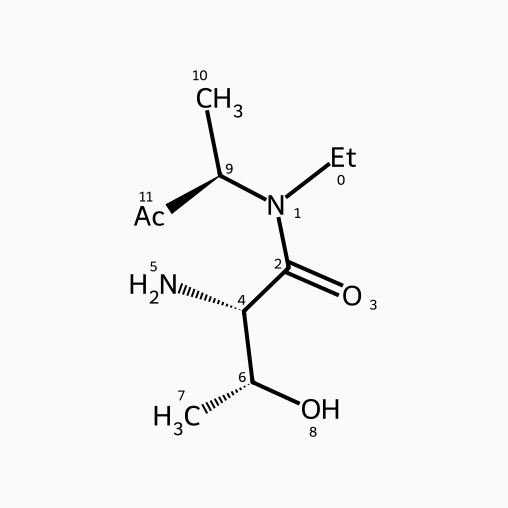 CCN(C(=O)[C@@H](N)[C@@H](C)O)[C@H](C)C(C)=O